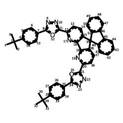 CC(C)(C)c1ccc(-c2nnc(-c3ccc4c(n3)-c3nc(-c5nnc(-c6ccc(C(C)(C)C)cc6)o5)ccc3C43c4ccccc4-c4ccccc43)o2)cc1